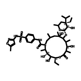 CC[C@@H]1OC(=O)C(C)[C@H](O)C(C)C(O[C@@H]2OC(C)C[C@@](CC)(C(C)C)[C@@H]2O)C(C)(O)CC(C)CN(C(=O)Nc2ccc(S(=O)(=O)Nc3cc(C)on3)cc2)C(C)[C@@H](O)C1O